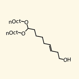 CCCCCCCCOC(CCCC/C=C/CCO)OCCCCCCCC